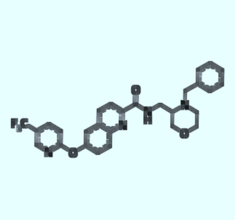 O=C(NCC1COCCN1Cc1ccccc1)c1ccc2cc(Oc3ccc(C(F)(F)F)cn3)ccc2n1